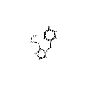 O=C(O)OCc1nccn1Cc1ccncc1